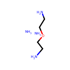 N.N.NCCOCCN